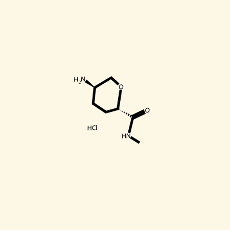 CNC(=O)[C@@H]1CC[C@@H](N)CO1.Cl